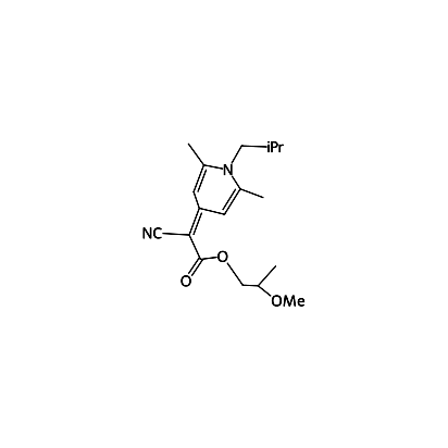 COC(C)COC(=O)C(C#N)=C1C=C(C)N(CC(C)C)C(C)=C1